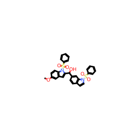 COc1ccc2c(c1)cc(C(O)c1ccc3ccn(S(=O)(=O)c4ccccc4)c3c1)n2S(=O)(=O)c1ccccc1